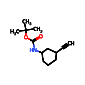 C#CC1CCCC(NC(=O)OC(C)(C)C)C1